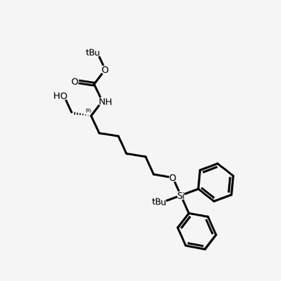 CC(C)(C)OC(=O)N[C@@H](CO)CCCCCO[Si](c1ccccc1)(c1ccccc1)C(C)(C)C